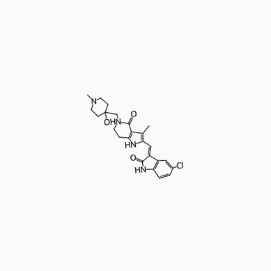 Cc1c(C=C2C(=O)Nc3ccc(Cl)cc32)[nH]c2c1C(=O)N(CC1(O)CCN(C)CC1)CC2